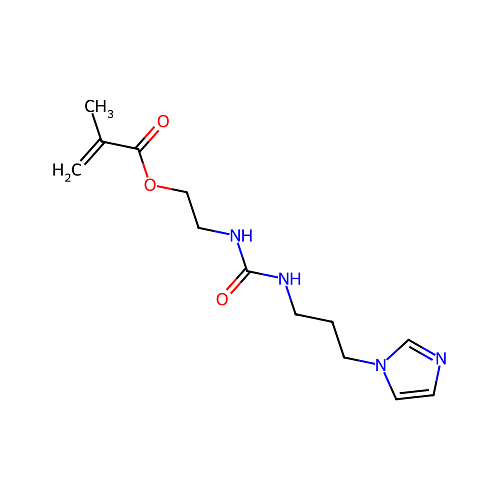 C=C(C)C(=O)OCCNC(=O)NCCCn1ccnc1